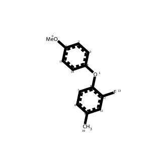 COc1ccc(Oc2ccc(C)cc2F)cc1